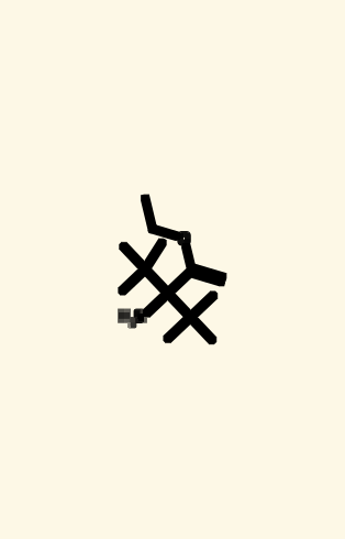 C=C(OCC)C([SiH3])(C(C)(C)C)C(C)(C)C